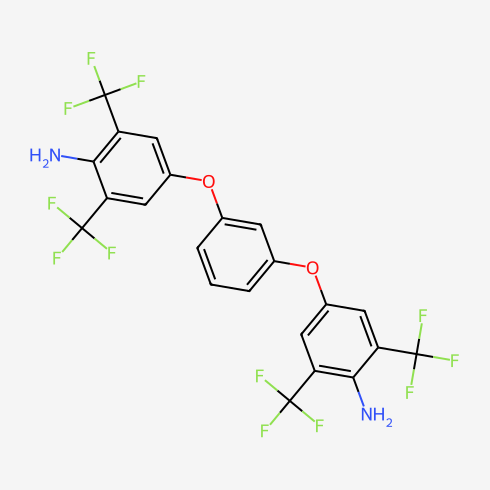 Nc1c(C(F)(F)F)cc(Oc2cccc(Oc3cc(C(F)(F)F)c(N)c(C(F)(F)F)c3)c2)cc1C(F)(F)F